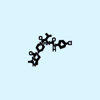 Cc1ncc2n1C(=O)N(C1CCN(C(=O)[C@H](NC(=O)Nc3ccc(Cl)cc3)C(C)C)CC1)C2